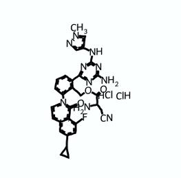 Cl.Cl.Cn1cc(Nc2nc(N)nc(-c3cccc(-n4ccc5cc(C6CC6)cc(F)c5c4=O)c3COC(=O)C(N)CC#N)n2)cn1